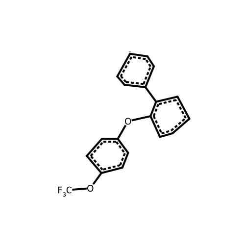 FC(F)(F)Oc1ccc(Oc2ccccc2-c2cc[c]cc2)cc1